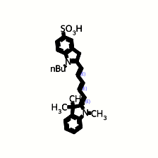 CCCC[N+]1=C(/C=C/C=C/C=C2/N(C)c3ccccc3C2(C)C)Cc2cc(S(=O)(=O)O)ccc21